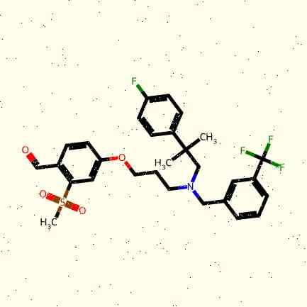 CC(C)(CN(CCCOc1ccc(C=O)c(S(C)(=O)=O)c1)Cc1cccc(C(F)(F)F)c1)c1ccc(F)cc1